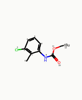 Cc1c(Cl)cccc1NC(=O)OC(C)(C)C